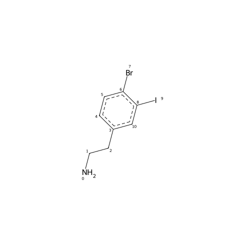 NCCc1ccc(Br)c(I)c1